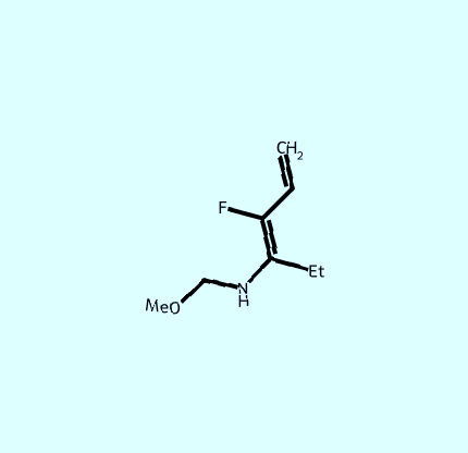 C=C/C(F)=C(\CC)NCOC